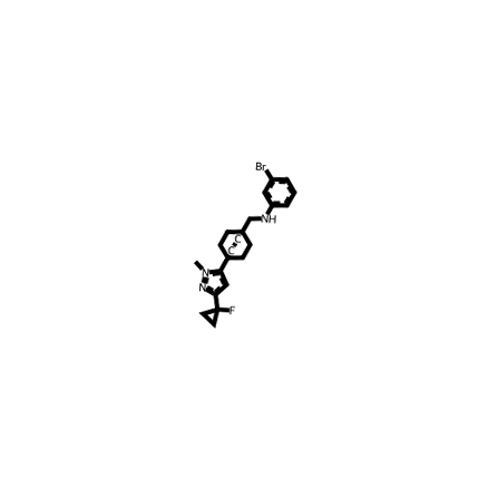 Cn1nc(C2(F)CC2)cc1C12CCC(CNc3cccc(Br)c3)(CC1)CC2